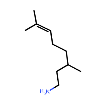 CC(C)=CCCC(C)CCN